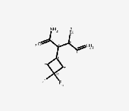 C=CC(CC)C(C(N)=O)C1CC(F)(F)C1